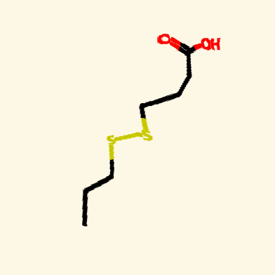 CCCSSCCC(=O)O